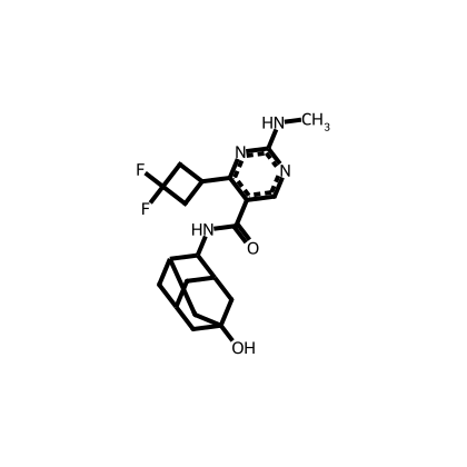 CNc1ncc(C(=O)NC2C3CC4CC2CC(O)(C4)C3)c(C2CC(F)(F)C2)n1